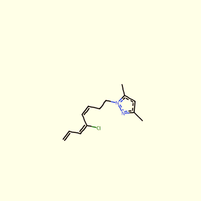 C=C/C=C(Cl)\C=C/CCn1nc(C)cc1C